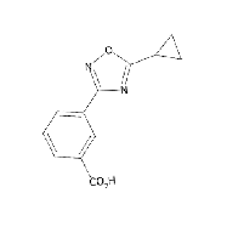 O=C(O)c1cccc(-c2noc(C3CC3)n2)c1